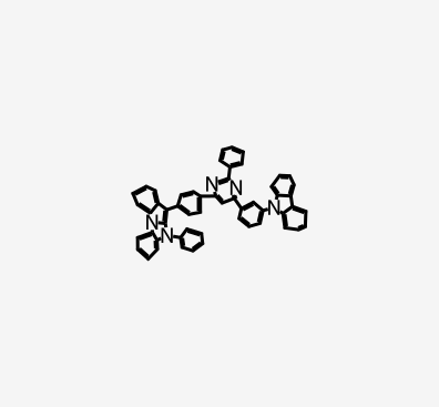 c1ccc(-c2nc(-c3ccc(-c4c5ccccc5n5c6ccccc6n(-c6ccccc6)c45)cc3)cc(-c3cccc(-n4c5ccccc5c5ccccc54)c3)n2)cc1